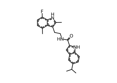 Cc1[nH]c2c(F)ccc(C)c2c1CCNC(=O)c1cc2cc(C(C)C)ccc2[nH]1